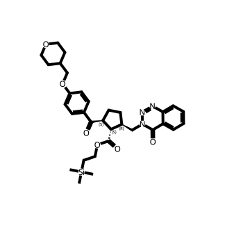 C[Si](C)(C)CCOC(=O)[C@H]1[C@H](Cn2nnc3ccccc3c2=O)CC[C@@H]1C(=O)c1ccc(OCC2CCOCC2)cc1